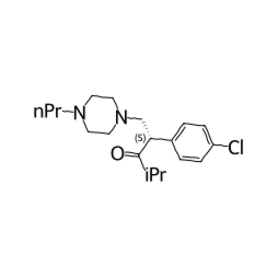 CCCN1CCN(C[C@@H](C(=O)C(C)C)c2ccc(Cl)cc2)CC1